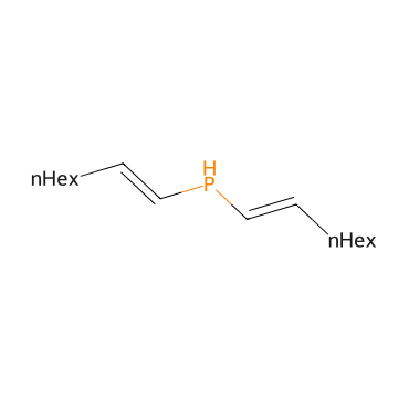 CCCCCCC=CPC=CCCCCCC